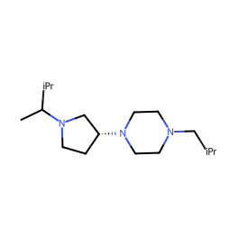 CC(C)CN1CCN([C@@H]2CCN(C(C)C(C)C)C2)CC1